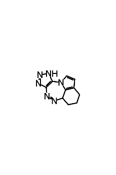 c1cn2c3c1CCCC3N=Nc1nn[nH]c1-2